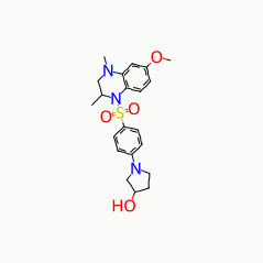 COc1ccc2c(c1)N(C)CC(C)N2S(=O)(=O)c1ccc(N2CCC(O)C2)cc1